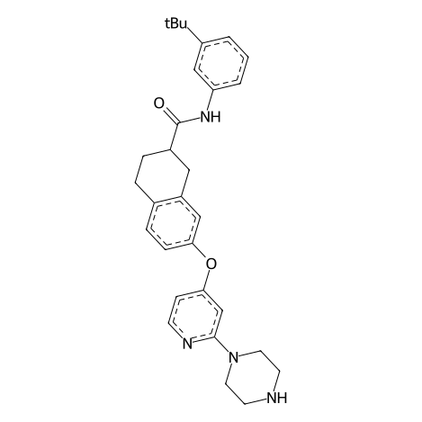 CC(C)(C)c1cccc(NC(=O)C2CCc3ccc(Oc4ccnc(N5CCNCC5)c4)cc3C2)c1